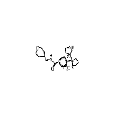 C[C@H]1CCC[N+]1(c1ccc(C(=O)NCC2CCOCC2)cc1)[C@H]1CCNC1